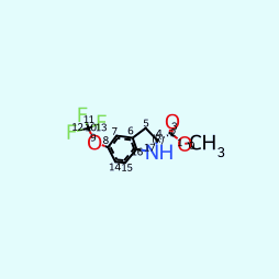 COC(=O)[C@H]1Cc2cc(OC(F)(F)F)ccc2N1